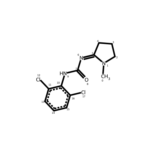 CN1CCCC1=NC(=O)Nc1c(Cl)cccc1Cl